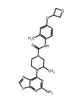 Cc1cc(OC2COC2)ccc1NC(=O)N1CCN(c2nc(N)nc3scnc23)C(C)C1